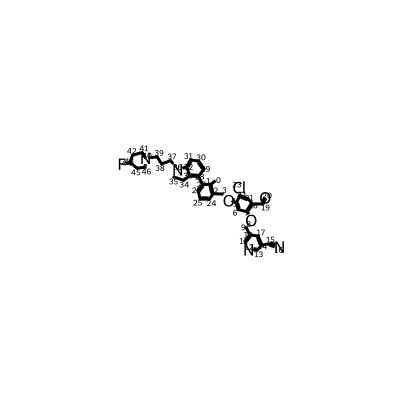 Cc1c(COc2cc(OCc3cncc(C#N)c3)c(C=O)cc2Cl)cccc1-c1cccc2c1CCN2CCCN1CCC(F)CC1